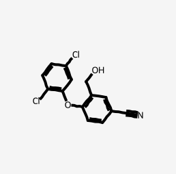 N#Cc1ccc(Oc2cc(Cl)ccc2Cl)c(CO)c1